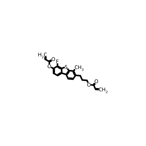 C=CC(=O)OCCCc1ccc2c(sc3c(F)c(OC(=O)C=C)ccc32)c1C